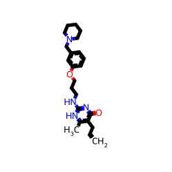 C=CCc1c(C)[nH]c(NCCCOc2cccc(CN3CCCCC3)c2)nc1=O